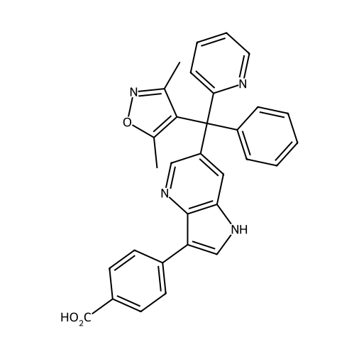 Cc1noc(C)c1C(c1ccccc1)(c1cnc2c(-c3ccc(C(=O)O)cc3)c[nH]c2c1)c1ccccn1